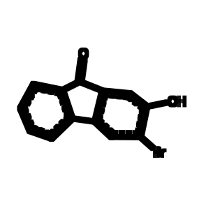 O=C1c2ccccc2-c2cc(Br)c(O)cc21